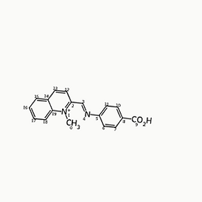 C[n+]1c(C=Nc2ccc(C(=O)O)cc2)ccc2ccccc21